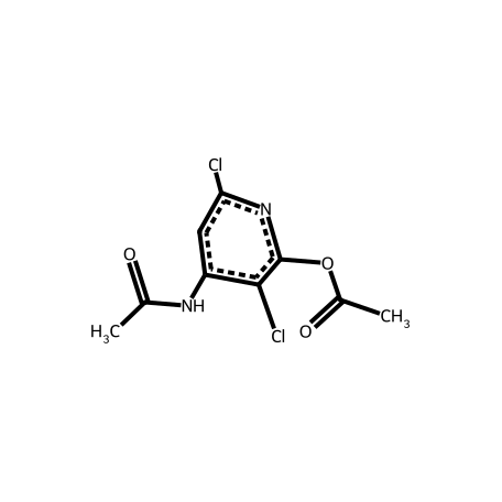 CC(=O)Nc1cc(Cl)nc(OC(C)=O)c1Cl